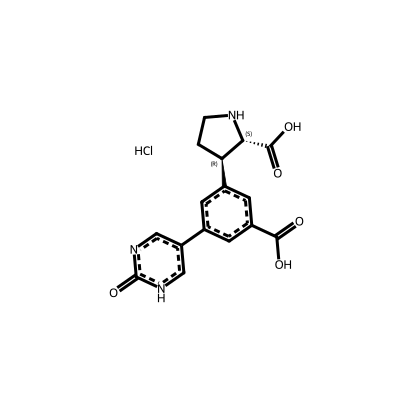 Cl.O=C(O)c1cc(-c2cnc(=O)[nH]c2)cc([C@H]2CCN[C@@H]2C(=O)O)c1